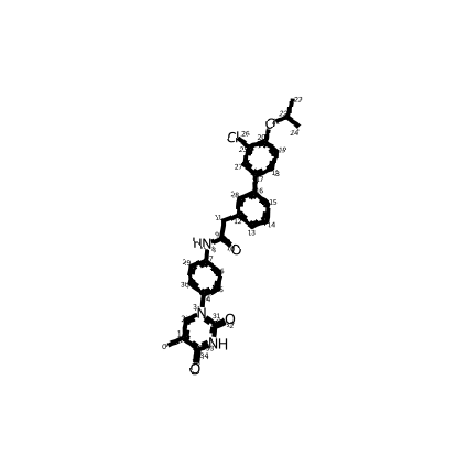 Cc1cn(-c2ccc(NC(=O)Cc3cccc(-c4ccc(OC(C)C)c(Cl)c4)c3)cc2)c(=O)[nH]c1=O